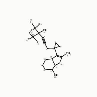 CC1=C(C2(CC#CC(O)(C(F)(F)F)C(F)(F)F)CC2)C2CCCC(O)C2C1